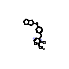 C=C/C(Cl)=C(\C=C/C)Cc1ccc(OC2CC3CCCC3C2)cc1